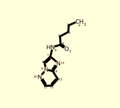 CCCCC(=O)Nc1cn2ncccc2n1